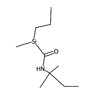 CCC[Si](C)C(=O)NC(C)(C)CC